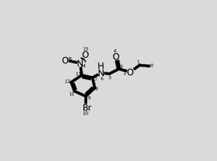 CCOC(=O)CNc1cc(Br)ccc1[N+](=O)[O-]